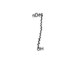 CCCCCCCCCCCCCCCCCCCCCCCCCCCCCCCCCCO